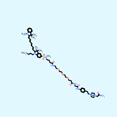 CN1/C(=C/C=C/C=C/C=C/C2=[N+](CCCS(=O)(=O)O)c3ccc(S(=O)(=O)N(C)CCCC(=O)NCCOCCOCCOCCC(=O)NCC(=O)Nc4ccc(CC[N+]56CC[N+](CC(N)=O)(CC5)CC6)cc4)cc3C2(C)C)C(C)(C)c2ccccc21